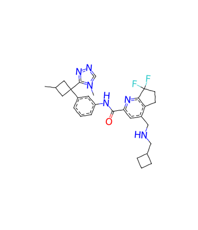 CC1CC(c2cccc(NC(=O)c3cc(CNCC4CCC4)c4c(n3)C(F)(F)CC4)c2)(c2nncn2C)C1